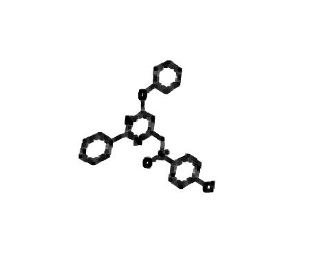 [O-][S+](Cc1cc(Oc2ccccc2)nc(-c2ccccc2)n1)c1ccc(Cl)cc1